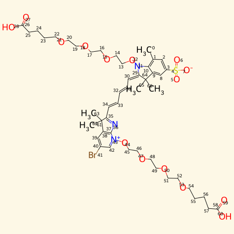 Cc1cc(S(=O)(=O)[O-])cc2c1N(OCCOCCOCCOCCCCC(=O)O)/C(=C/C=C/C=C/C1=Nc3c(cc(Br)c[n+]3OCCOCCOCCOCCCCC(=O)O)C1(C)C)C2(C)C